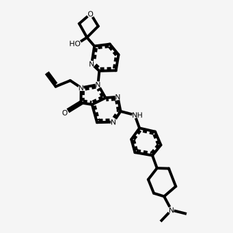 C=CCn1c(=O)c2cnc(Nc3ccc(C4CCC(N(C)C)CC4)cc3)nc2n1-c1cccc(C2(O)COC2)n1